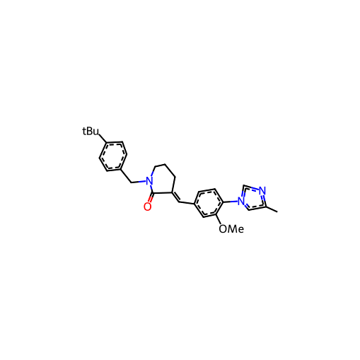 COc1cc(/C=C2\CCCN(Cc3ccc(C(C)(C)C)cc3)C2=O)ccc1-n1cnc(C)c1